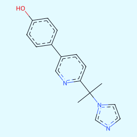 CC(C)(c1ccc(-c2ccc(O)cc2)cn1)n1ccnc1